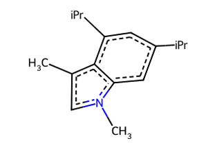 Cc1cn(C)c2cc(C(C)C)cc(C(C)C)c12